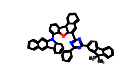 CC1(C)c2ccccc2-c2ccc(-c3nc(C4=Cc5ccccc5C5c6cccc(N7c8cc9ccccc9cc8C8=CC=CCC87)c6OC45)nc(-c4ccccc4)n3)cc21